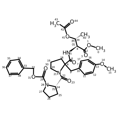 COC(=O)[C@@H](NC(=O)C1(Cc2ccc(OC)cc2)CCCN1C(=O)[C@@H]1CCCN1C(=O)OCc1ccccc1)[C@@H](C)OC(C)=O